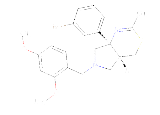 COc1ccc(CN2C[C@H]3CSC(C)=N[C@@]3(c3cccc(Br)c3)C2)c(OC)c1